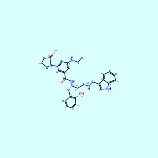 CCNc1cc(C(=O)N[C@@H](Cc2ccccc2)[C@@H](O)CNCc2c[nH]c3ccccc23)cc(N2CCCC2=O)c1